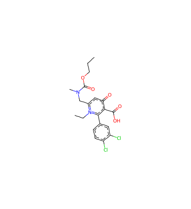 CCCOC(=O)N(C)Cc1cc(=O)c(C(=O)O)c(-c2ccc(Cl)c(Cl)c2)n1CC